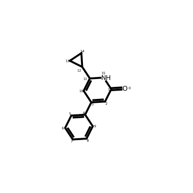 O=c1cc(-c2ccccc2)cc(C2CC2)[nH]1